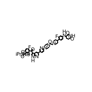 CC(C)S(=O)(=O)Nc1ccc(F)c(C(=O)c2c[nH]c3ncc(-c4ccc(N5CCN(C(=O)CN6CCC(c7ccc(NC8CCC(=O)NC8=O)cc7F)CC6)CC5)nc4)cc23)c1F